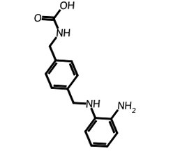 Nc1ccccc1NCc1ccc(CNC(=O)O)cc1